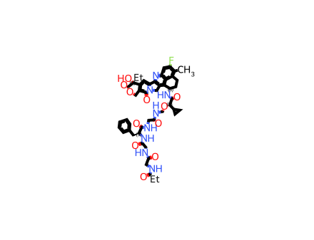 CCC(=O)NCC(=O)NCC(=O)N[C@@H](Cc1ccccc1)C(=O)NCC(=O)NCO[C@H](C(=O)N[C@H]1CCc2c(C)c(F)cc3nc4c(c1c23)Cn1c-4cc2c(c1=O)COC(=O)[C@]2(O)CC)C1CC1